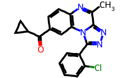 Cc1nc2ccc(C(=O)C3CC3)cc2n2c(-c3ccccc3Cl)nnc12